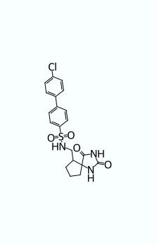 O=C1NC(=O)C2(CCCC2CNS(=O)(=O)c2ccc(-c3ccc(Cl)cc3)cc2)N1